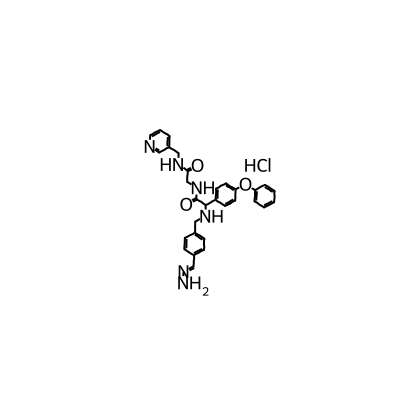 Cl.NN=Cc1ccc(CNC(C(=O)NCC(=O)NCc2cccnc2)c2ccc(Oc3ccccc3)cc2)cc1